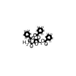 NC(=O)[C@@H]1O[C@H](COC(=O)c2ccccc2)[C@@H](OC(=O)c2ccccc2)[C@H]1OC(=O)c1ccccc1